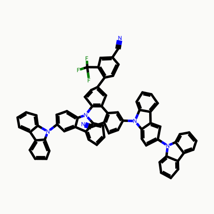 N#Cc1ccc(-c2ccc(-n3c4ccccc4c4cc(-n5c6ccccc6c6ccccc65)ccc43)c(-c3cc(-n4c5ccccc5c5cc(-n6c7ccccc7c7ccccc76)ccc54)ccc3C#N)c2)c(C(F)(F)F)c1